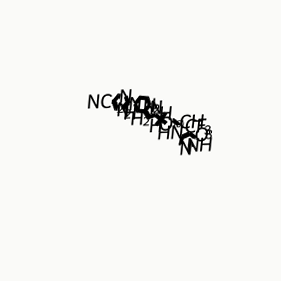 [2H]C([2H])(OC[C@H](C)Nc1cn[nH]c(=O)c1C(F)(F)F)c1cc2n(n1)CCN(c1ncc(C#N)cn1)C2([2H])[2H]